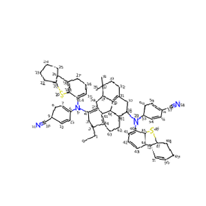 CCC1CC(N(C2=CCC(C#N)C=C2)C2=CCCC3=C2SC2CCCCC32)=C2CC3C4=C(CCC3(C)C)CC(N(C3=CC=CC5C3SC3CCC=CC35)C3C=CC(C#N)=CC3)C3CCC1=C2C43